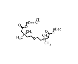 CCCCCCCCCCOC(=O)C[N+](C)(C)CCSCC[N+](C)(C)CC(=O)OCCCCCCCCCC.[Cl-].[Cl-]